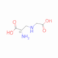 N[C@@H](CNCC(=O)O)C(=O)O